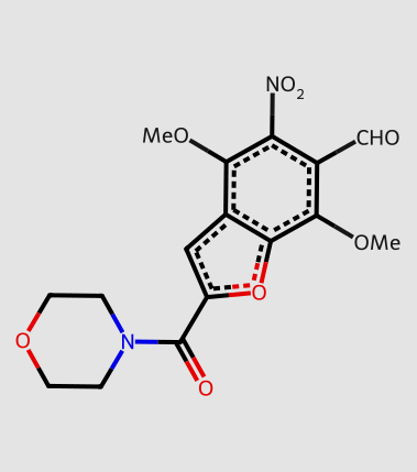 COc1c([N+](=O)[O-])c(C=O)c(OC)c2oc(C(=O)N3CCOCC3)cc12